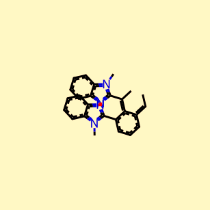 C/C=c1/cccc(-c2nc3ccccc3n2C)/c1=C(/C)c1nc2ccccc2n1C